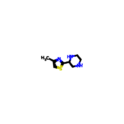 Cc1csc(C2CNCCN2)n1